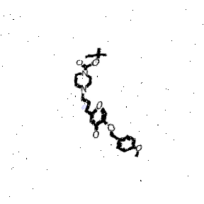 COc1ccc(COc2coc(/C=C/CN3CCN(C(=O)OC(C)(C)C)CC3)cc2=O)cc1